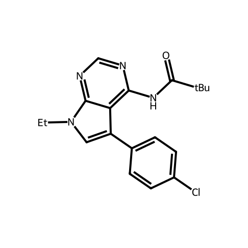 CCn1cc(-c2ccc(Cl)cc2)c2c(NC(=O)C(C)(C)C)ncnc21